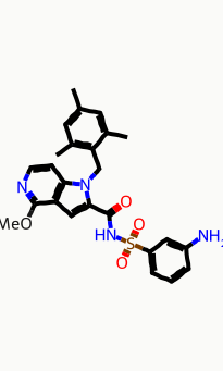 COc1nccc2c1cc(C(=O)NS(=O)(=O)c1cccc(N)c1)n2Cc1c(C)cc(C)cc1C